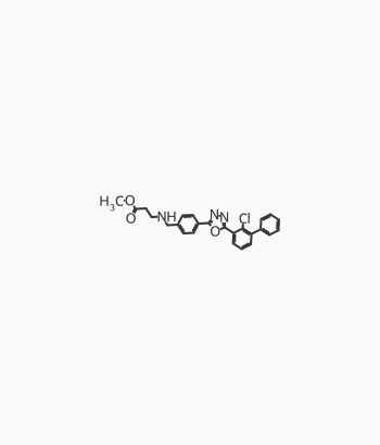 COC(=O)CCNCc1ccc(-c2nnc(-c3cccc(-c4ccccc4)c3Cl)o2)cc1